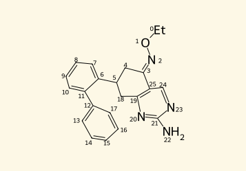 CCON=C1CC(c2ccccc2-c2ccccc2)Cc2nc(N)ncc21